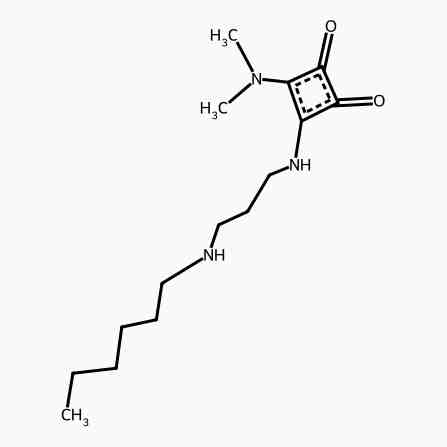 CCCCCCNCCCNc1c(N(C)C)c(=O)c1=O